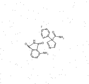 NC(=O)[N+]1(c2ccccc2)C=CN=C1.Nc1cccc2c1C(=O)NC2=O.[I-]